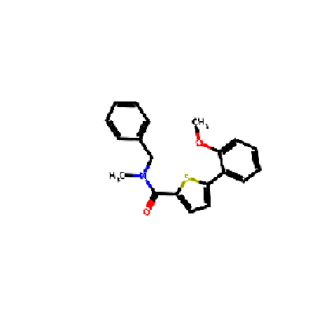 COc1ccccc1-c1ccc(C(=O)N(C)Cc2ccccc2)s1